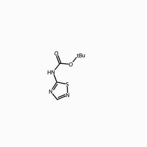 CC(C)(C)OC(=O)Nc1ncns1